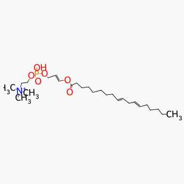 CCCCC/C=C/C/C=C/CCCCCCCC(=O)O/C=C/COP(=O)(O)OCC[N+](C)(C)C